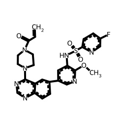 C=CC(=O)N1CCN(c2ncnc3ccc(-c4cnc(OC)c(NS(=O)(=O)c5ccc(F)cn5)c4)cc23)CC1